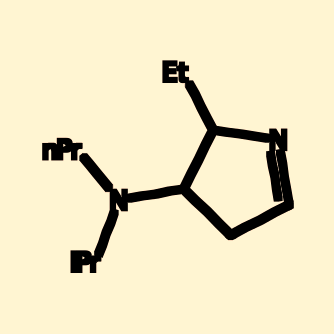 CCCN(C(C)C)C1CC=NC1CC